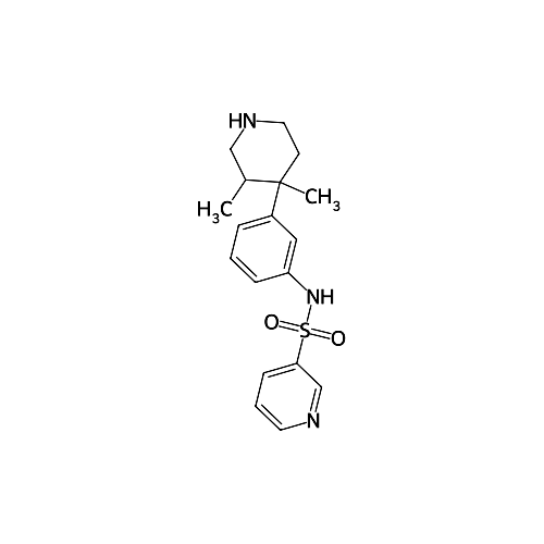 CC1CNCCC1(C)c1cccc(NS(=O)(=O)c2cccnc2)c1